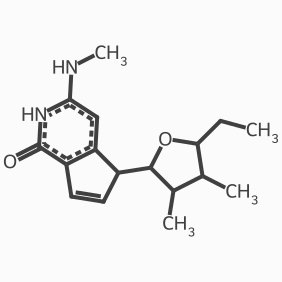 CCC1OC(C2C=Cc3c2cc(NC)[nH]c3=O)C(C)C1C